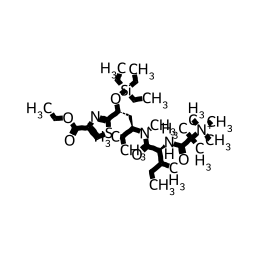 CCOC(=O)c1csc([C@@H](C[C@H](C(C)C)N(C)C(=O)[C@@H](NC(=O)C(C)(C)[N+](C)(C)C)C(C)CC)O[Si](CC)(CC)CC)n1